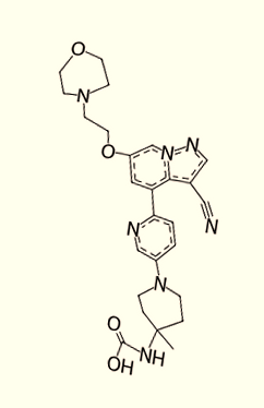 CC1(NC(=O)O)CCN(c2ccc(-c3cc(OCCN4CCOCC4)cn4ncc(C#N)c34)nc2)CC1